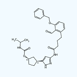 CC(C)NC(=O)O[C@@H]1CC[C@H](c2cc(NC(=O)CCCc3cccc(OCc4ccccc4)c3C=O)n[nH]2)C1